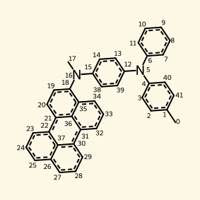 Cc1ccc(N(c2ccccc2)c2ccc(N(C)c3ccc4c5cccc6cccc(c7cccc3c74)c65)cc2)cc1